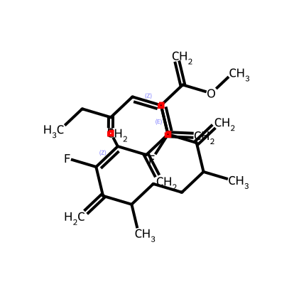 C=C(/C=C\C(=C)C(=C)/C(F)=C(/F)C(=C)C(C)CCC(C)C(=C)/C(F)=C\C(=C)OC)CC